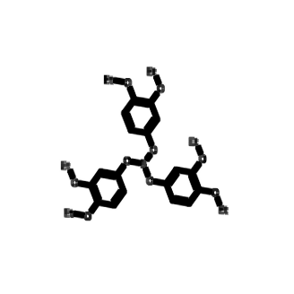 CCOc1ccc(OB(Oc2ccc(OCC)c(OCC)c2)Oc2ccc(OCC)c(OCC)c2)cc1OCC